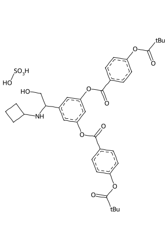 CC(C)(C)C(=O)Oc1ccc(C(=O)Oc2cc(OC(=O)c3ccc(OC(=O)C(C)(C)C)cc3)cc(C(CO)NC3CCC3)c2)cc1.O=S(=O)(O)O